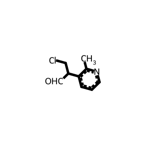 Cc1ncccc1C(C=O)CCl